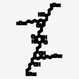 CCCCCCCCCCCCCC(O)CN(CCCCC1NC(=O)C(CCCCN(CC(O)CCCCCCCCCCCCC)CC(O)CCCCCCCCCCCCC)NC1=O)CC(O)CCCCCCCCCCCCC